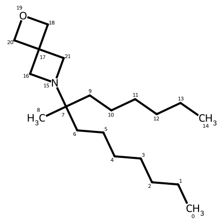 CCCCCCCC(C)(CCCCCC)N1CC2(COC2)C1